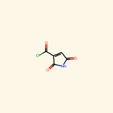 O=C1C=C(C(=O)Cl)C(=O)N1